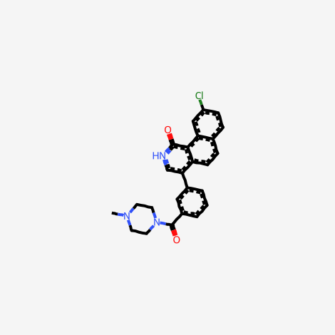 CN1CCN(C(=O)c2cccc(-c3c[nH]c(=O)c4c3ccc3ccc(Cl)cc34)c2)CC1